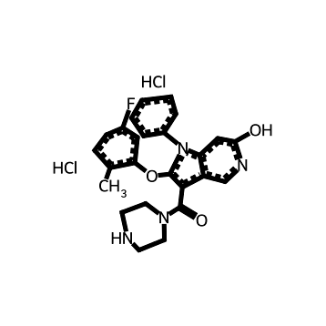 Cc1ccc(F)cc1Oc1c(C(=O)N2CCNCC2)c2cnc(O)cc2n1-c1ccccc1.Cl.Cl